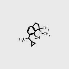 CO[C@@]1(C)CCc2ccc([C@@H](C)C3CC3)c(O)c21